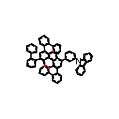 c1ccc(-c2ccccc2-c2cc(-c3cccc(-n4c5ccccc5c5ccccc54)c3)c3ccc4c(-c5ccccc5-c5ccccc5)cc(-c5ccccc5-c5ccccc5)c5ccc2c3c45)cc1